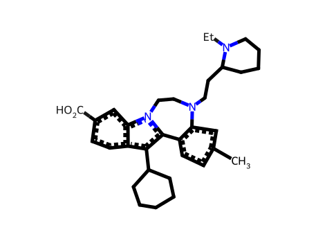 CCN1CCCCC1CCN1CCn2c(c(C3CCCCC3)c3ccc(C(=O)O)cc32)-c2ccc(C)cc21